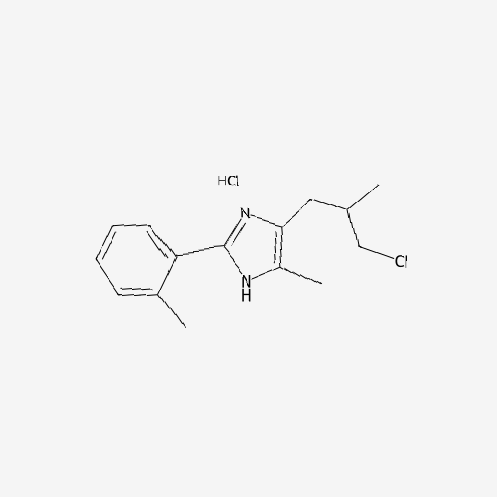 Cc1ccccc1-c1nc(CC(C)CCl)c(C)[nH]1.Cl